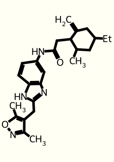 C=C1CC(CC)CC(C)C1CC(=O)Nc1ccc2[nH]c(Cc3c(C)noc3C)nc2c1